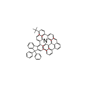 CC(C)(C)c1ccc(-c2ccccc2N(c2ccccc2-c2cccc3c2-c2ccccc2C3(c2ccccc2)c2ccccc2)c2ccccc2-c2cccc3cccc(-c4ccccc4)c23)cc1